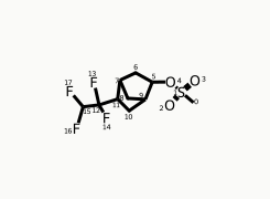 CS(=O)(=O)OC1CC2CC1CC2C(F)(F)C(F)F